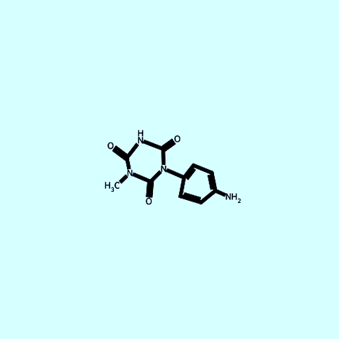 Cn1c(=O)[nH]c(=O)n(-c2ccc(N)cc2)c1=O